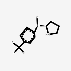 [O-][S+](c1ccc(C(F)(F)F)cc1)[C@H]1CCCN1